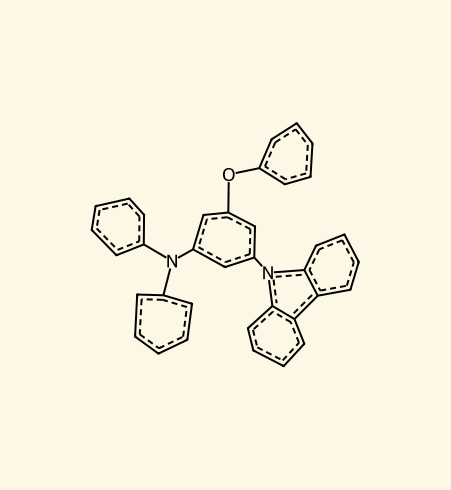 c1ccc(Oc2cc(N(c3ccccc3)c3ccccc3)cc(-n3c4ccccc4c4ccccc43)c2)cc1